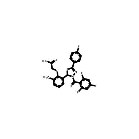 COc1cccc(C2SC(c3ccc(F)cc3)=NN2C(=O)c2c(F)cc(F)cc2F)c1OCC(N)=O